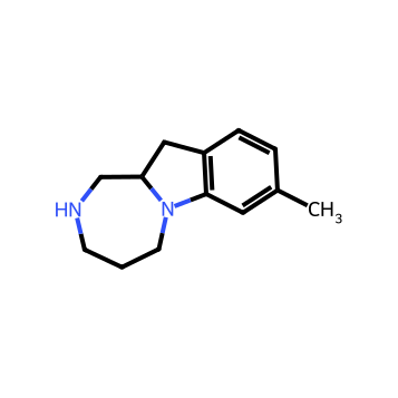 Cc1ccc2c(c1)N1CCCNCC1C2